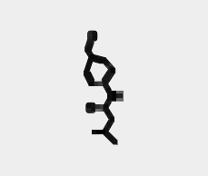 CC(C)CC(=O)Nc1ccc(C=O)cc1